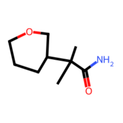 CC(C)(C(N)=O)C1CCCOC1